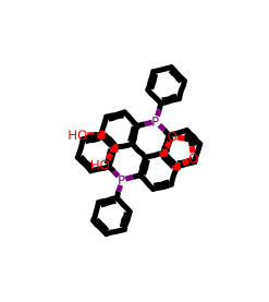 Oc1ccc(P(c2ccccc2)c2ccccc2)c(-c2c(P(c3ccccc3)c3ccccc3)ccc3c2OCO3)c1O